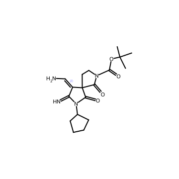 CC(C)(C)OC(=O)N1CCC2(C1=O)C(=O)N(C1CCCC1)C(=N)/C2=C\N